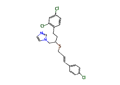 Clc1ccc(/C=C/CSC(CCc2ccc(Cl)cc2Cl)Cn2ccnc2)cc1